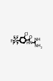 N=C(N)NC(=O)c1ccc(S(F)(F)(F)(F)F)cc1Cl